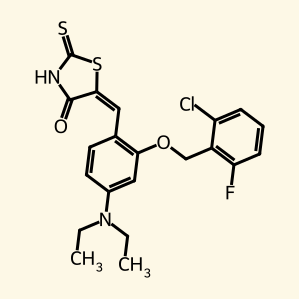 CCN(CC)c1ccc(C=C2SC(=S)NC2=O)c(OCc2c(F)cccc2Cl)c1